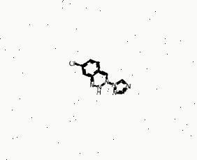 Clc1ccc2c(c1)=NNN(n1cncn1)C=2